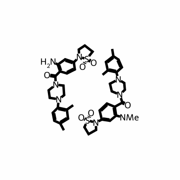 CNc1cc(N2CCCS2(=O)=O)ccc1C(=O)N1CCN(c2ccc(C)cc2C)CC1.Cc1ccc(N2CCN(C(=O)c3ccc(N4CCCS4(=O)=O)cc3N)CC2)c(C)c1